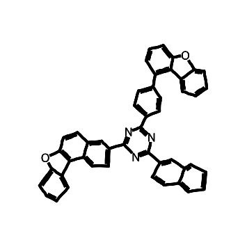 c1ccc2cc(-c3nc(-c4ccc(-c5cccc6oc7ccccc7c56)cc4)nc(-c4ccc5c(ccc6oc7ccccc7c65)c4)n3)ccc2c1